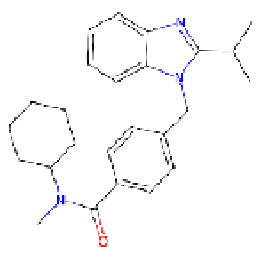 CC(C)c1nc2ccccc2n1Cc1ccc(C(=O)N(C)C2CCCCC2)cc1